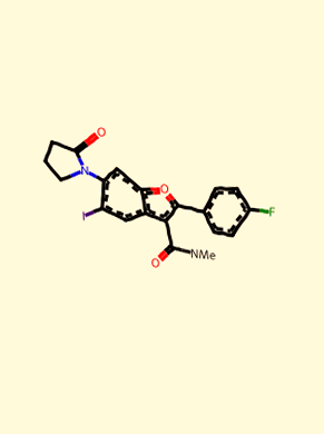 CNC(=O)c1c(-c2ccc(F)cc2)oc2cc(N3CCCC3=O)c(I)cc12